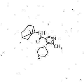 Cn1ncc(C(=O)NC2C3CC4CC(C3)CC2C4)c1N1CCSCC1